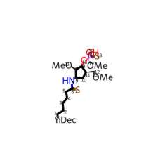 CCCCCCCCCCCCCCCC(=S)N[C@H]1C[C@H](COC)C(OP(O)(=S)OC)[C@@H]1OC